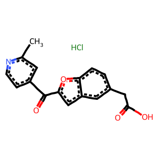 Cc1cc(C(=O)c2cc3cc(CC(=O)O)ccc3o2)ccn1.Cl